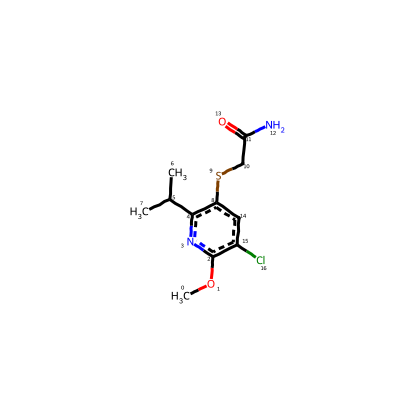 COc1nc(C(C)C)c(SCC(N)=O)cc1Cl